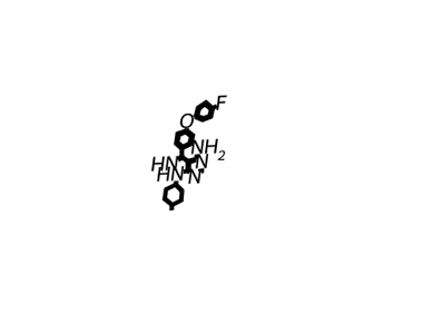 CC1CCC(Nc2ncnc(N)c2C(=N)c2ccc(Oc3ccc(F)cc3)cc2)CC1